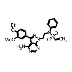 C=CS(=O)(=O)N(CCn1nc(-c2ccc(OCC)c(OC)c2)c2c(N)ncnc21)c1ccccc1